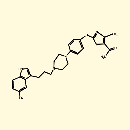 Cc1nc(Oc2ccc(N3CCN(CCCc4c[nH]c5ccc(C#N)cc45)CC3)cc2)sc1C(N)=O